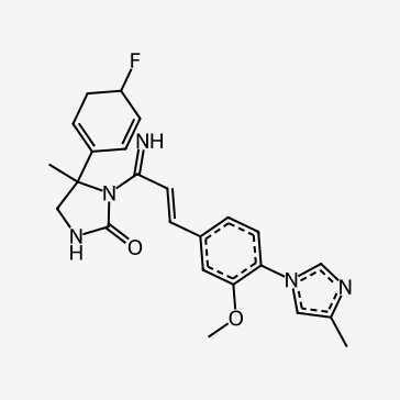 COc1cc(/C=C/C(=N)N2C(=O)NCC2(C)C2=CCC(F)C=C2)ccc1-n1cnc(C)c1